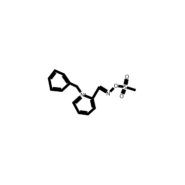 CS(=O)(=O)ON=Cc1cccc[n+]1Cc1ccccc1